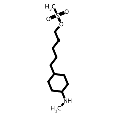 CNC1CCC(CCCCCOS(C)(=O)=O)CC1